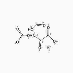 O=C(O)C(=O)O.O=C([O-])O.O=CO.[K+]